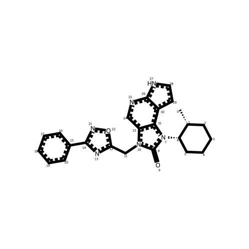 C[C@@H]1CCCC[C@@H]1n1c(=O)n(Cc2nc(-c3ccccc3)no2)c2cnc3[nH]ccc3c21